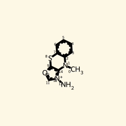 CN1c2ccccc2Sc2oc[n+](N)c21